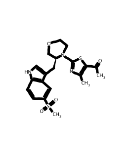 CC(=O)c1sc(N2CCOC[C@@H]2Cc2c[nH]c3ccc(S(C)(=O)=O)cc23)nc1C